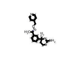 C/C(=N\OCc1ccncc1)c1cccc(C2(C)CCSC(N)=N2)c1